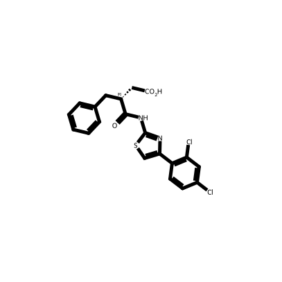 O=C(O)C[C@@H](Cc1ccccc1)C(=O)Nc1nc(-c2ccc(Cl)cc2Cl)cs1